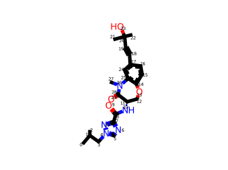 CC(C)Cn1cnc(C(=O)N[C@H]2COc3ccc(C#CC(C)(C)O)cc3N(C)C2=O)n1